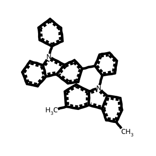 Cc1ccc2c(c1)c1cc(C)ccc1n2-c1ccccc1-c1ccc2c3ccccc3n(-c3ccccc3)c2c1